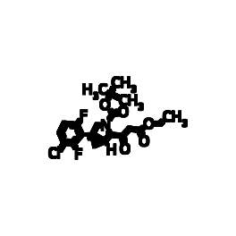 CCOC(=O)CC(=O)C1[C@@H]2C[C@]2(c2c(F)ccc(Cl)c2F)CN1C(=O)OC(C)(C)C